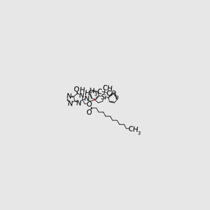 CCCCCCCCCCCC(=O)OCC1(NCCCC[Si](c2ccccc2)(c2ccccc2)C(C)(C)C)N=C2N=CN=C2C(=O)N1